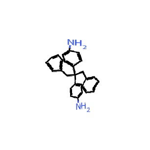 Nc1ccc(C(Cc2ccccc2)(Cc2ccccc2)c2ccc(N)cc2)cc1